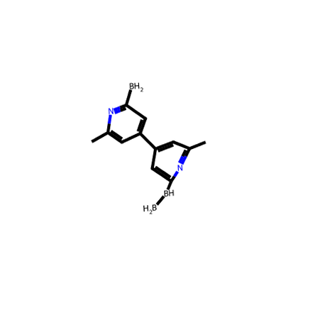 BBc1cc(-c2cc(B)nc(C)c2)cc(C)n1